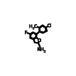 Cc1cc(Cl)ccc1-c1cc(F)cc2c1OC(CN)C2